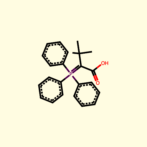 CC(C)(C)C(C(=O)O)=P(c1ccccc1)(c1ccccc1)c1ccccc1